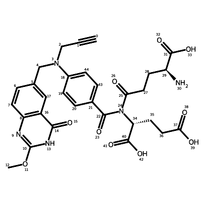 C#CCN(Cc1ccc2nc(OC)[nH]c(=O)c2c1)c1ccc(C(=O)N(C(=O)CC[C@H](N)C(=O)O)[C@H](CCC(=O)O)C(=O)O)cc1